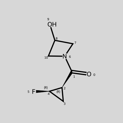 O=C([C@H]1C[C@H]1F)N1CC(O)C1